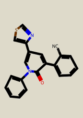 N#Cc1ccccc1-c1cc(-c2cscn2)cn(-c2ccccc2)c1=O